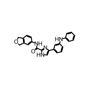 O=C(Nc1ccc2c(c1)COC2)c1nc(-c2cccc(Nc3ccccc3)c2)c[nH]1